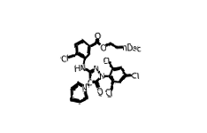 CCCCCCCCCCCCOC(=O)c1ccc(Cl)c(Nc2nn(-c3c(Cl)cc(Cl)cc3Cl)c(=O)[c-]2-[n+]2ccccc2)c1